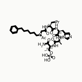 CC(=O)N(CCCCCCc1ccccc1)CC(=O)N[C@@H](CC(C)C)C(=O)N[C@@H](Cc1cnc[nH]1)C(=O)N[C@@H](C)C(=O)N[C@H](C(N)=O)[C@@H](C)OP(=O)(O)O